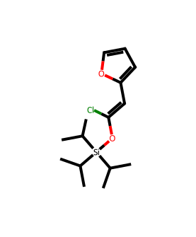 CC(C)[Si](OC(Cl)=Cc1ccco1)(C(C)C)C(C)C